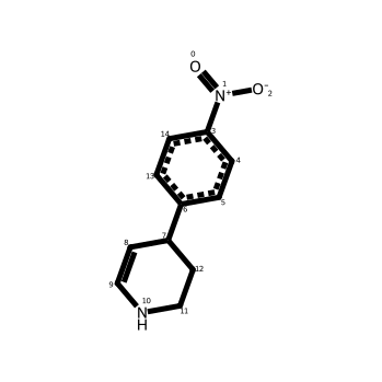 O=[N+]([O-])c1ccc(C2C=CNCC2)cc1